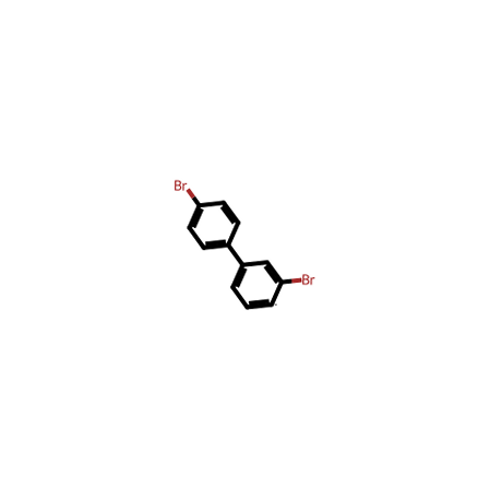 Brc1[c]ccc(-c2ccc(Br)cc2)c1